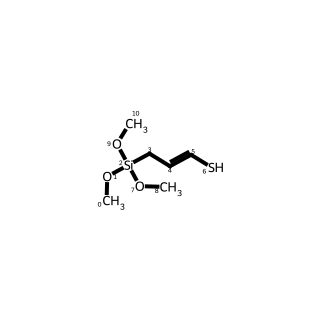 CO[Si](CC=CS)(OC)OC